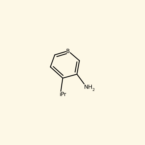 CC(C)c1ccbcc1N